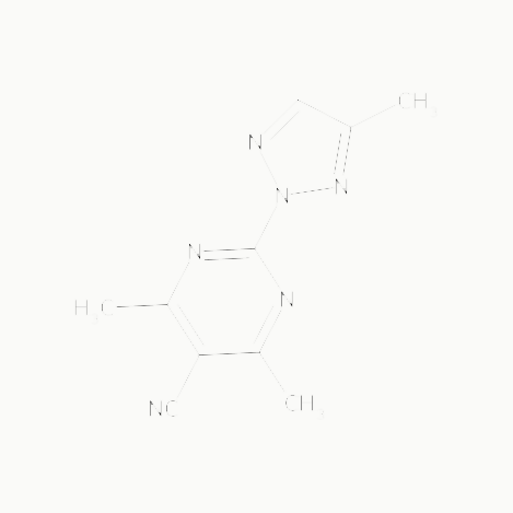 Cc1cnn(-c2nc(C)c(C#N)c(C)n2)n1